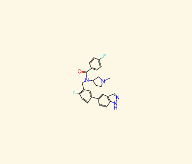 CN1CCC(N(Cc2cc(-c3ccc4[nH]ncc4c3)ccc2F)C(=O)c2ccc(F)cc2)C1